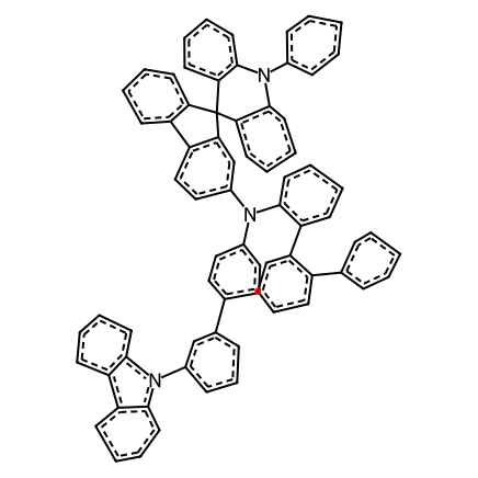 c1ccc(-c2ccccc2-c2ccccc2N(c2ccc(-c3cccc(-n4c5ccccc5c5ccccc54)c3)cc2)c2ccc3c(c2)C2(c4ccccc4-3)c3ccccc3N(c3ccccc3)c3ccccc32)cc1